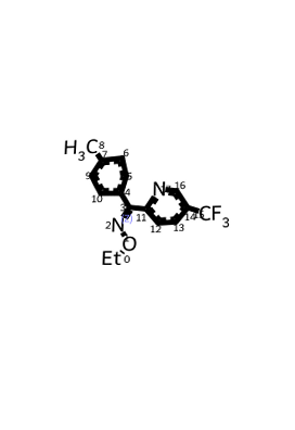 CCO/N=C(/c1ccc(C)cc1)c1ccc(C(F)(F)F)cn1